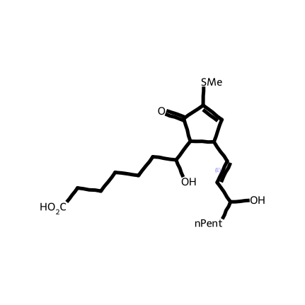 CCCCCC(O)/C=C/C1C=C(SC)C(=O)C1C(O)CCCCCC(=O)O